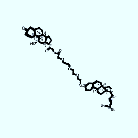 CC[C@H](/C=C/[C@@H](C)[C@H]1CC[C@H]2[C@@H]3CC=C4C[C@@H](OCCOCCOCCOCC(=O)OCC(=O)[C@H]5CC[C@H]6[C@@H]7CCC8=CC(=O)C=C[C@]8(C)[C@H]7[C@@H](O)C[C@]56C)CC[C@]4(C)[C@H]3CC[C@]12C)C(C)C